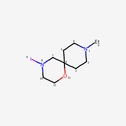 CCN1CCC2(CC1)CN(I)CCO2